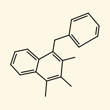 Cc1c(C)c(Cc2ccccc2)c2ccccc2c1C